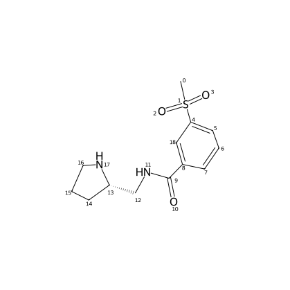 CS(=O)(=O)c1cccc(C(=O)NC[C@@H]2CCCN2)c1